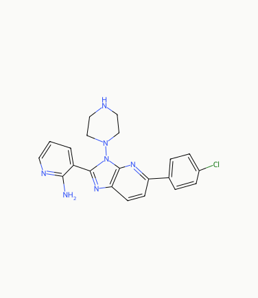 Nc1ncccc1-c1nc2ccc(-c3ccc(Cl)cc3)nc2n1N1CCNCC1